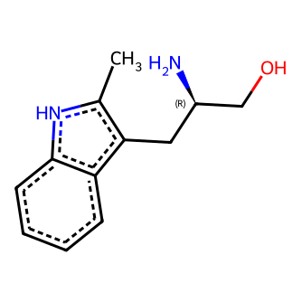 Cc1[nH]c2ccccc2c1C[C@@H](N)CO